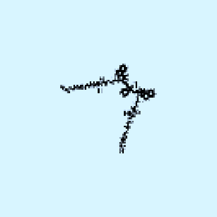 CC1(C)C(/C=C/C2=C(Cl)C(=C/C=C3/N(CCCCCC(=O)NCCOCCOCCOCCN=[N+]=[N-])c4ccc5ccccc5c4C3(C)C)/c3ccccc32)=[N+](CCCCCC(=O)NCCOCCOCCOCCN=[N+]=[N-])c2ccc3ccccc3c21